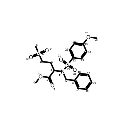 COC(=O)C(CCS(C)(=O)=O)N(Cc1ccccc1)S(=O)(=O)c1ccc(OC)cc1